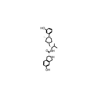 CC(C)[C@@H](CN1CCN(c2cccc(O)c2)[C@@H](C)C1)NC(=O)[C@H]1Cc2ccc(O)cc2CN1